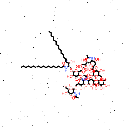 CCCCCCCCCCCCC/C=C/[C@@H](O)[C@H](CO[C@@H]1OC(CO)[C@@H](O[C@@H]2OC(CO[C@@H]3OC(CO)[C@@H](O)[C@H](O)C3NC(C)=O)[C@H](O)[C@H](O[C@@H]3OC(CO)[C@@H](O[C@H]4OC(C)[C@@H](O)C(O)[C@@H]4O)[C@H](O[C@@H]4OC(CO)[C@H](O)[C@H](O[C@]5(C(=O)O)CC(O)[C@@H](NC(C)=O)C([C@H](O)[C@H](O)CO)O5)C4O)C3NC(C)=O)C2O)[C@H](O)C1O)NC(=O)CCCCCCCCCCCCCCCCC